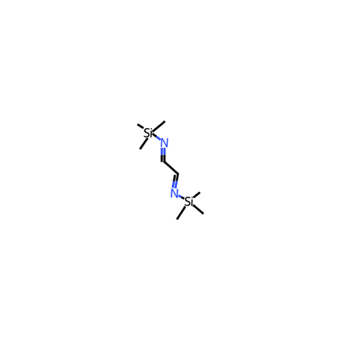 C[Si](C)(C)N=CC=N[Si](C)(C)C